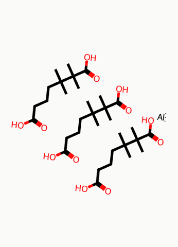 CC(C)(CCCC(=O)O)C(C)(C)C(=O)O.CC(C)(CCCC(=O)O)C(C)(C)C(=O)O.CC(C)(CCCC(=O)O)C(C)(C)C(=O)O.[Al]